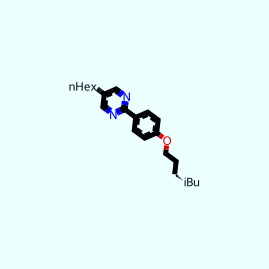 CCCCCCc1cnc(-c2ccc(OCCC[C@@H](C)CC)cc2)nc1